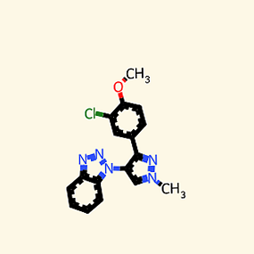 COc1ccc(-c2nn(C)cc2-n2nnc3ccccc32)cc1Cl